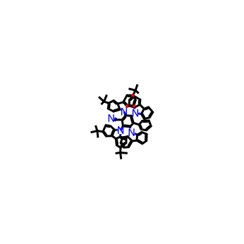 CC(C)(C)c1ccc2c(c1)c1cc(C(C)(C)C)ccc1n2-c1c(C#N)c(-n2c3ccc(C(C)(C)C)cc3c3cc(C(C)(C)C)ccc32)c(-n2c3ccccc3c3ccccc32)c(-c2ccccc2)c1-n1c2ccccc2c2ccccc21